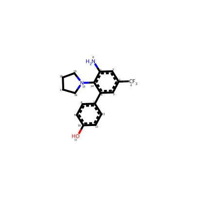 Nc1cc(C(F)(F)F)cc(-c2ccc(O)cc2)c1N1CCCC1